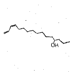 C=C/C=C\CCCCCCCCC(O)CCC